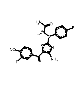 C[C@H](C(N)=O)N(c1ccc(F)cc1)c1nc(N)c(C(=O)c2ccc(C#N)c(F)c2)s1